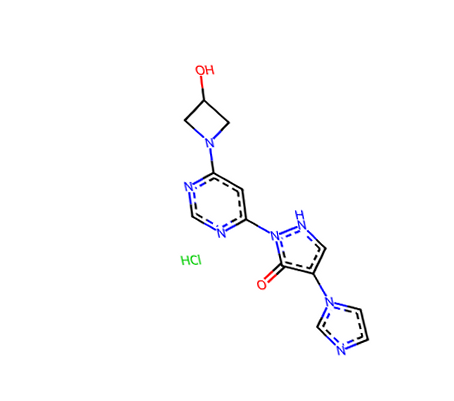 Cl.O=c1c(-n2ccnc2)c[nH]n1-c1cc(N2CC(O)C2)ncn1